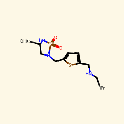 CC(C)CNCc1ccc(CN2CC(C=O)NS2(=O)=O)s1